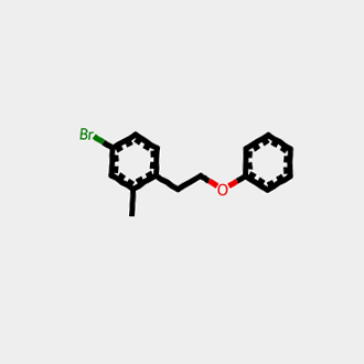 Cc1cc(Br)ccc1CCOc1ccccc1